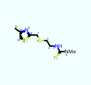 CNC(=S)NCCSCc1nc(C)cs1